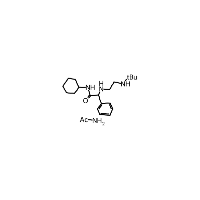 CC(C)(C)NCCNC(C(=O)NC1CCCCC1)c1ccccc1.CC(N)=O